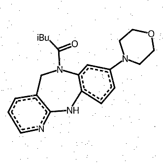 CCC(C)C(=O)N1Cc2cccnc2Nc2ccc(N3CCOCC3)cc21